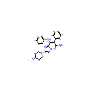 Nc1nn2cc([C@H]3CC[C@H](N)CC3)nc2c(Nc2ccccc2)c1-c1ccccc1